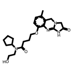 Cc1ccc(OCCCC(=O)N(CCO)C2CCCC2)c2c1CN1CC(=O)NC1=N2